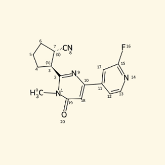 Cn1c([C@H]2CCC[C@@H]2C#N)nc(-c2ccnc(F)c2)cc1=O